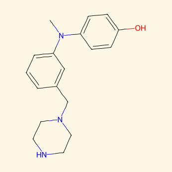 CN(c1ccc(O)cc1)c1cccc(CN2CCNCC2)c1